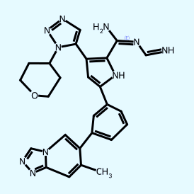 Cc1cc2nncn2cc1-c1cccc(-c2cc(-c3cnnn3C3CCOCC3)c(/C(N)=N\C=N)[nH]2)c1